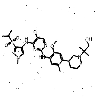 COc1cc(C2CCCN(C(C)(C)CO)C2)c(C)cc1Nc1ncc(Cl)c(Nc2cn(C)nc2S(=O)(=O)C(C)C)n1